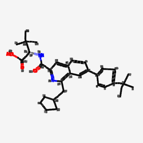 CC(C)(C)c1ccc(-c2ccc3cc(C(=O)N[C@H](C(=O)O)C(C)(C)C)nc(CC4CCCC4)c3c2)cc1